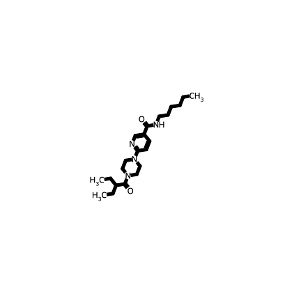 CCCCCCNC(=O)c1ccc(N2CCN(C(=O)C(CC)CC)CC2)nc1